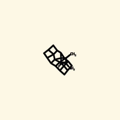 CC1C(N)=C(F)C12C1C3CC4CC5C6C7C8CC9CC%10C1C7(C9%108)C62C435